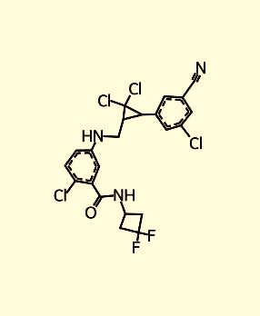 N#Cc1cc(Cl)cc(C2C(CNc3ccc(Cl)c(C(=O)NC4CC(F)(F)C4)c3)C2(Cl)Cl)c1